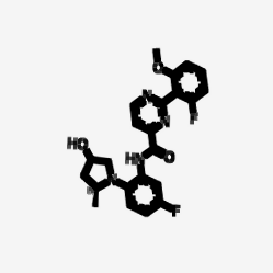 COc1cccc(F)c1-c1nccc(C(=O)Nc2cc(F)ccc2N2CC(O)C[C@@H]2C)n1